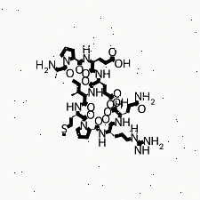 CC[C@H](C)[C@H](NC(=O)[C@H](CCC(=O)O)NC(=O)[C@H](CCC(=O)O)NC(=O)[C@@H]1CCCN1C(=O)[C@H](C)N)C(=O)N[C@@H](CCSC)C(=O)N1CCC[C@H]1C(=O)N[C@@H](CCCNC(=N)N)C(=O)N[C@@H](CCC(N)=O)C(=O)O